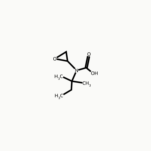 CCC(C)(C)N(C(=O)O)C1CO1